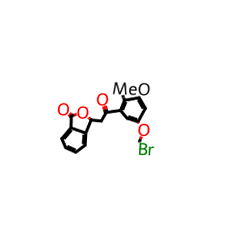 COc1ccc(OCBr)cc1C(=O)CC1OC(=O)c2ccccc21